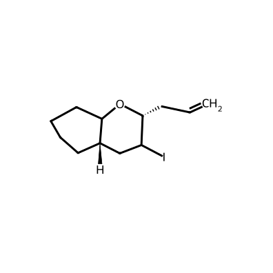 C=CC[C@H]1OC2CCCC[C@H]2CC1I